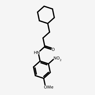 COc1ccc(NC(=O)CCC2CCCCC2)c([N+](=O)[O-])c1